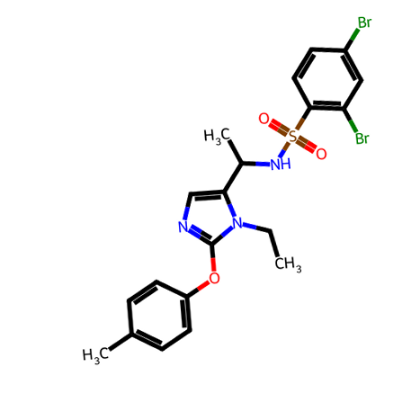 CCn1c(C(C)NS(=O)(=O)c2ccc(Br)cc2Br)cnc1Oc1ccc(C)cc1